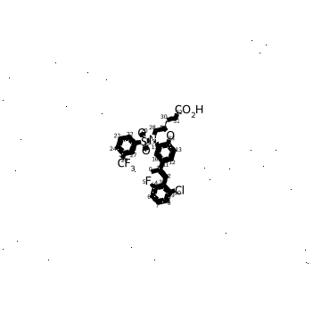 CC(=Cc1c(F)cccc1Cl)c1ccc2c(c1)N(S(=O)(=O)c1cccc(C(F)(F)F)c1)C[C@H](CCC(=O)O)O2